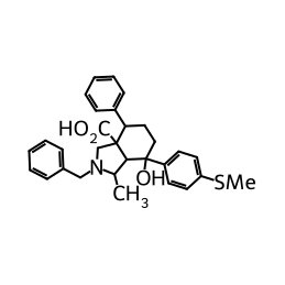 CSc1ccc(C2(O)CCC(c3ccccc3)C3(C(=O)O)CN(Cc4ccccc4)C(C)C23)cc1